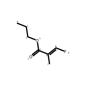 CCCOC(=O)C(C)=CF